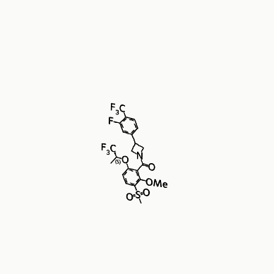 COc1c(S(C)(=O)=O)ccc(O[C@@H](C)C(F)(F)F)c1C(=O)N1CC(c2ccc(C(F)(F)F)c(F)c2)C1